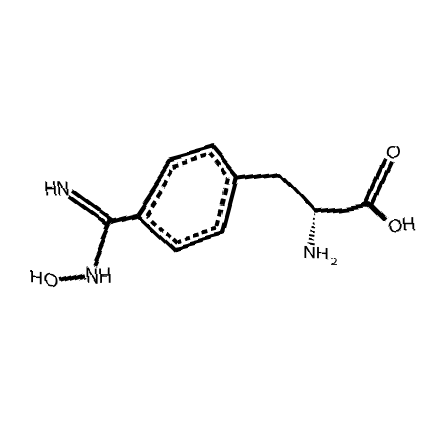 N=C(NO)c1ccc(C[C@@H](N)C(=O)O)cc1